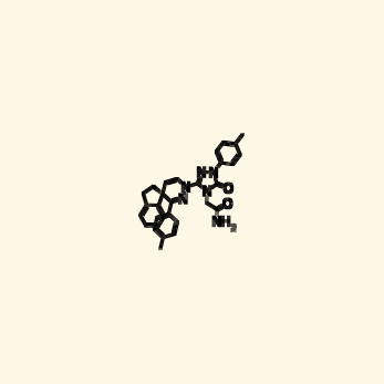 Cc1ccc(C2=NN(c3nn(-c4ccc(C)cc4)c(=O)n3CC(N)=O)C=C[C@]23CCc2ccccc23)cc1